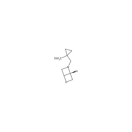 CCOC(=O)C1(CN2CC3OC[C@H]32)CC1